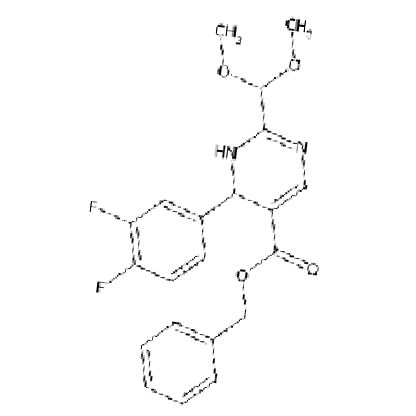 COC(OC)C1=NC=C(C(=O)OCc2ccccc2)C(c2ccc(F)c(F)c2)N1